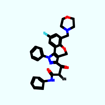 N#CC(C(=O)Nc1ccccc1)C(=O)c1nn(-c2ccccc2)c2c1COc1c(CN3CCOCC3)cc(F)cc1-2